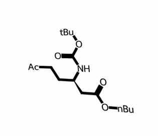 CCCCOC(=O)C[C@@H](CCC(C)=O)NC(=O)OC(C)(C)C